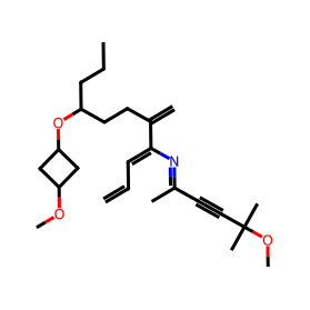 C=C/C=C(\N=C(/C)C#CC(C)(C)OC)C(=C)CCC(CCC)OC1CC(OC)C1